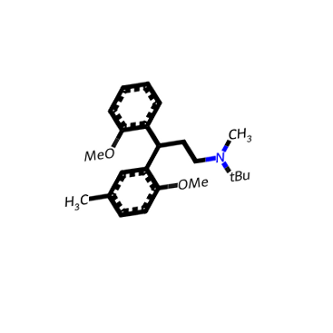 COc1ccccc1C(CCN(C)C(C)(C)C)c1cc(C)ccc1OC